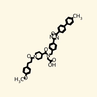 COc1ccc(CCC(=O)N2CCC(C(=O)N(CC(=O)O)Cc3ccc(-c4noc(-c5ccc(-c6ccc(C)cc6)cc5)n4)cc3)CC2)cc1